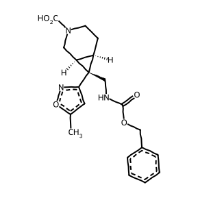 Cc1cc([C@@]2(CNC(=O)OCc3ccccc3)[C@@H]3CCN(C(=O)O)C[C@@H]32)no1